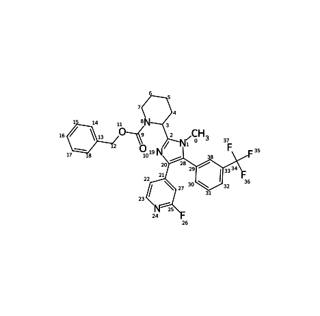 Cn1c(C2CCCCN2C(=O)OCc2ccccc2)nc(-c2ccnc(F)c2)c1-c1cccc(C(F)(F)F)c1